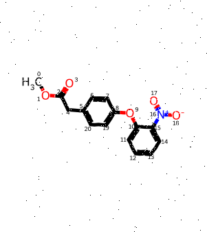 COC(=O)Cc1ccc(Oc2ccccc2[N+](=O)[O-])cc1